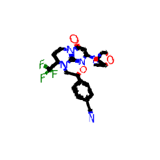 N#Cc1ccc(C(=O)CN2c3nc(N4CC5CC4CO5)cc(=O)n3CCC2C(F)(F)F)cc1